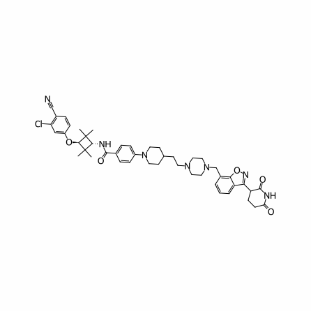 CC1(C)[C@H](NC(=O)c2ccc(N3CCC(CCN4CCN(Cc5cccc6c(C7CCC(=O)NC7=O)noc56)CC4)CC3)cc2)C(C)(C)[C@H]1Oc1ccc(C#N)c(Cl)c1